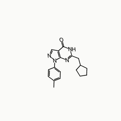 Cc1ccc(-n2ncc3c(=O)[nH]c(CC4CCCC4)nc32)cc1